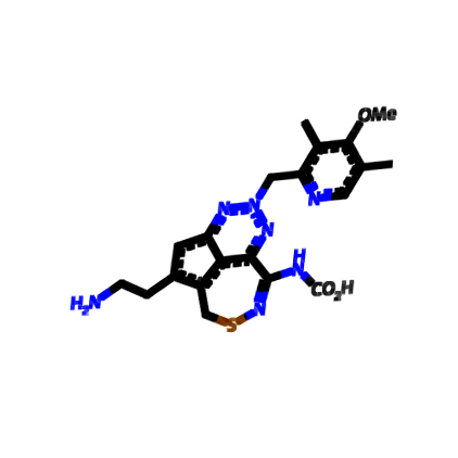 COc1c(C)cnc(Cn2nc3cc(CCN)c4c-3c(n2)C(NC(=O)O)=NSC4)c1C